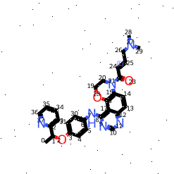 CC(Oc1ccc(Nc2ncnc3ccc4c(c23)OCCN4C(=O)/C=C/CN(C)C)cc1)c1ccccn1